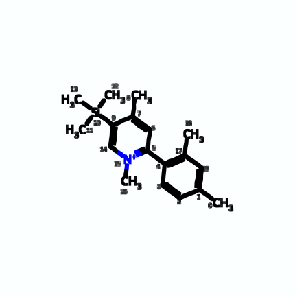 Cc1ccc(-c2cc(C)c([Si](C)(C)C)c[n+]2C)c(C)c1